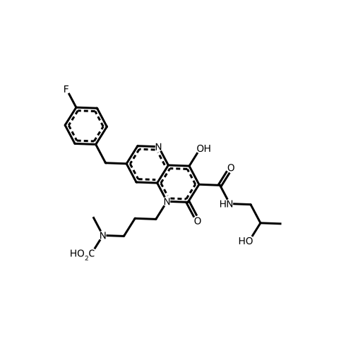 CC(O)CNC(=O)c1c(O)c2ncc(Cc3ccc(F)cc3)cc2n(CCCN(C)C(=O)O)c1=O